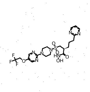 O=C(NO)[C@H](CCCc1ncccn1)CS(=O)(=O)N1CCN(c2ncc(OCC(F)(F)F)cn2)CC1